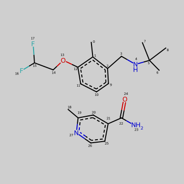 Cc1c(CNC(C)(C)C)cccc1OCC(F)F.Cc1cc(C(N)=O)ccn1